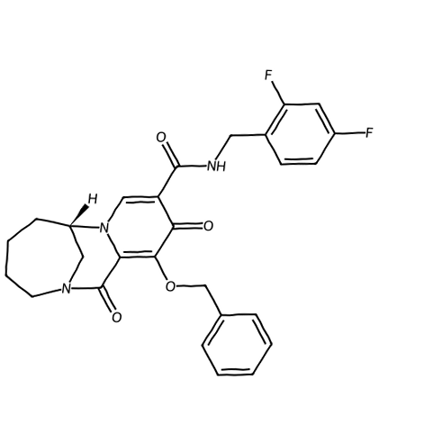 O=C(NCc1ccc(F)cc1F)c1cn2c(c(OCc3ccccc3)c1=O)C(=O)N1CCCC[C@H]2C1